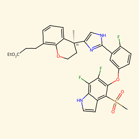 CCOC(=O)CCc1cccc2c1OCC[C@]2(C)c1c[nH]c(-c2cc(Oc3c(F)c(F)c4[nH]ccc4c3S(C)(=O)=O)ccc2F)n1